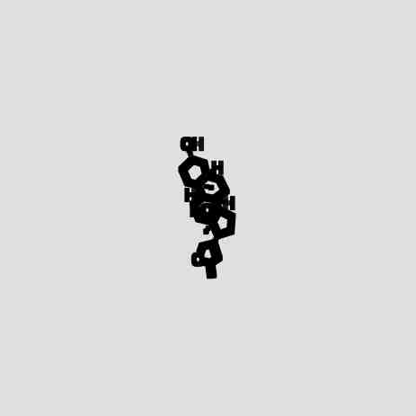 C=C1C=C([C@H]2CC[C@]3(O)[C@@H]4CC[C@@H]5C[C@@H](O)CC[C@]5(C)[C@H]4CC[C@]23C)CO1